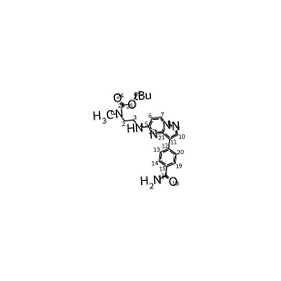 CN(CCNc1ccn2ncc(-c3ccc(C(N)=O)cc3)c2n1)C(=O)OC(C)(C)C